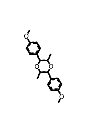 COc1ccc(C2OC(C)C(c3ccc(OC)cc3)OC2C)cc1